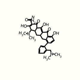 CN(C)Cc1ccccc1-c1ccc(O)c2c1CC1CC3C(C(=O)C(C(N)=O)=C(O)C3N(C)C)C(O)=C1C2=O